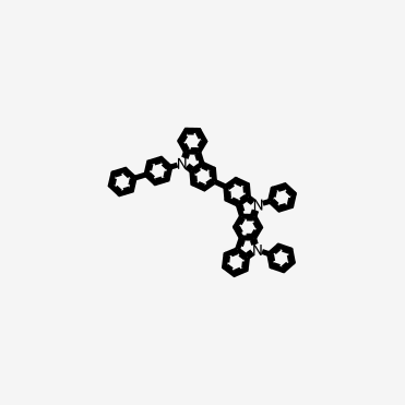 c1ccc(-c2ccc(-n3c4ccccc4c4cc(-c5ccc6c(c5)c5cc7c8ccccc8n(-c8ccccc8)c7cc5n6-c5ccccc5)ccc43)cc2)cc1